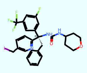 O=C(NC1CCOCC1)N[C@](Cc1ccccc1)(c1cc(F)cc(C(F)(F)F)c1)c1ccc(CI)cn1